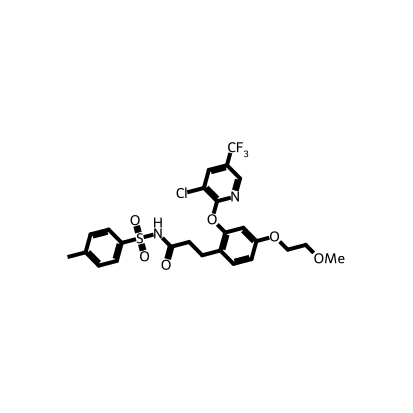 COCCOc1ccc(CCC(=O)NS(=O)(=O)c2ccc(C)cc2)c(Oc2ncc(C(F)(F)F)cc2Cl)c1